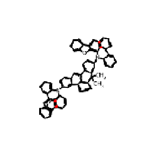 CC1(C)c2cc(N(c3ccccc3-c3ccccc3)c3cccc4c3oc3ccccc34)ccc2-c2cc3ccc(N(c4ccccc4-c4ccccc4)c4cccc5c4oc4ccccc45)cc3c3cccc1c23